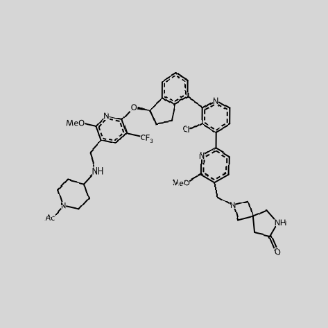 COc1nc(-c2ccnc(-c3cccc4c3CC[C@H]4Oc3nc(OC)c(CNC4CCN(C(C)=O)CC4)cc3C(F)(F)F)c2Cl)ccc1CN1CC2(CNC(=O)C2)C1